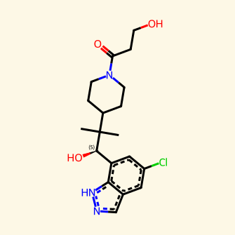 CC(C)(C1CCN(C(=O)CCO)CC1)[C@H](O)c1cc(Cl)cc2cn[nH]c12